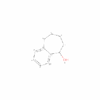 OC1CCCCc2ccccc21